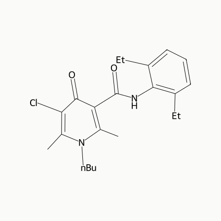 CCCCn1c(C)c(Cl)c(=O)c(C(=O)Nc2c(CC)cccc2CC)c1C